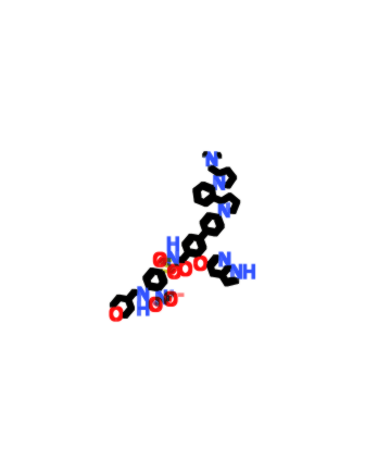 CN(C)CC1CCCN1c1ccccc1C1CCCN1c1ccc(-c2ccc(C(=O)NS(=O)(=O)c3ccc(NCC4CCOCC4)c([N+](=O)[O-])c3)c(Oc3cnc4[nH]ccc4c3)c2)cc1